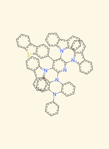 c1ccc(N2c3ccccc3N(c3nc(-n4c5ccccc5c5ccccc54)c(-n4c5ccccc5c5ccccc54)c(-c4ccc5c(c4)sc4ccccc45)c3-n3c4ccccc4c4ccccc43)c3ccccc32)cc1